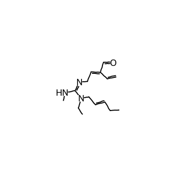 C=C/C(C=O)=C\C/N=C(/NC)N(CC)C/C=C/CC